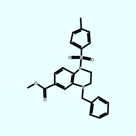 COC(=O)c1ccc2c(c1)N(Cc1ccccc1)CCN2S(=O)(=O)c1ccc(C)cc1